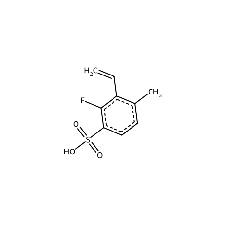 C=Cc1c(C)ccc(S(=O)(=O)O)c1F